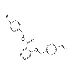 C=Cc1ccc(COC(=O)c2ccccc2OCc2ccc(C=C)cc2)cc1